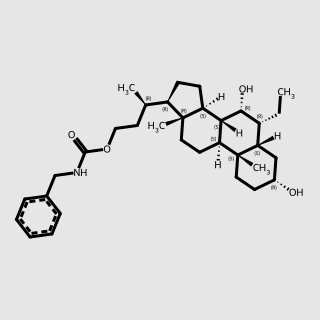 CC[C@H]1[C@@H](O)[C@@H]2[C@H](CC[C@]3(C)[C@@H]([C@H](C)CCOC(=O)NCc4ccccc4)CC[C@@H]23)[C@@]2(C)CC[C@@H](O)C[C@@H]12